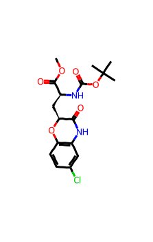 COC(=O)[C@H](C[C@@H]1Oc2ccc(Cl)cc2NC1=O)NC(=O)OC(C)(C)C